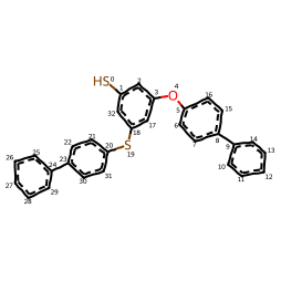 Sc1cc(Oc2ccc(-c3ccccc3)cc2)cc(Sc2ccc(-c3ccccc3)cc2)c1